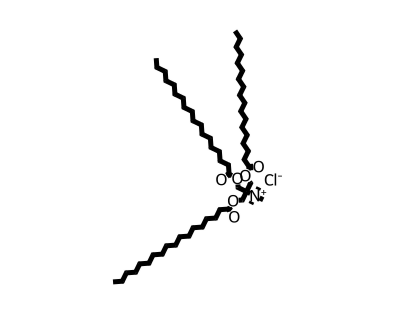 CCCCCCCCCCCCCCCCCC(=O)OCC(COC(=O)CCCCCCCCCCCCCCCCC)(COC(=O)CCCCCCCCCCCCCCCCC)[N+](C)(C)C.[Cl-]